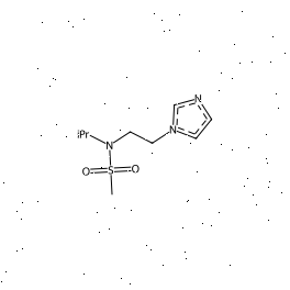 CC(C)N(CCn1ccnc1)S(C)(=O)=O